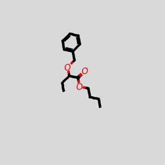 CCCCOC(=O)C(CC)OCc1ccccc1